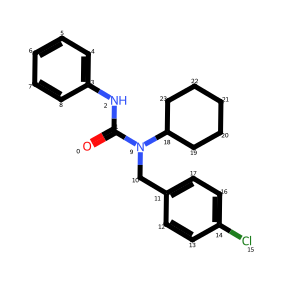 O=C(Nc1ccccc1)N(Cc1ccc(Cl)cc1)C1CCCCC1